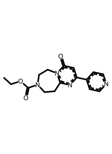 CCOC(=O)N1CCc2nc(-c3ccncc3)cc(=O)n2CC1